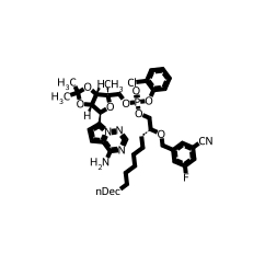 CCCCCCCCCCCCCCCC[C@H](COP(=O)(OC[C@@]1(C)O[C@@H](c2ccc3c(N)ncnn23)[C@@H]2OC(C)(C)O[C@@H]21)Oc1ccccc1Cl)OCc1cc(F)cc(C#N)c1